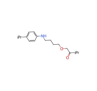 CC(C)C(=O)COCCCCNc1ccc(C(C)C)cc1